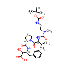 CC(C)[C@H](NC(=O)N(C)CCNC(=O)OC(C)(C)C)C(=O)N1CSC[C@H]1C(=O)N[C@@H](Cc1ccccc1)C(O)C(=O)O